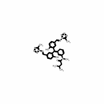 Cc1nnnn1N=Cc1ccc(O)c(C(=C2C=C(N(C)C(=O)CC(C)C)C=CC2)c2cc(C=Nn3nnnc3C)ccc2O)c1